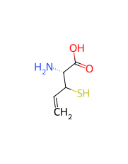 C=CC(S)[C@H](N)C(=O)O